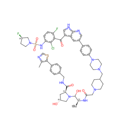 Cc1ncsc1-c1ccc(CNC(=O)[C@@H]2C[C@@H](O)CN2C(O)[C@@H](NC(=O)CN2CCC(CN3CCN(c4ccc(-c5cnc6[nH]cc(C(=O)c7c(F)ccc(NS(=O)(=O)N8CC[C@@H](F)C8)c7Cl)c6c5)cc4)CC3)CC2)C(C)(C)C)cc1